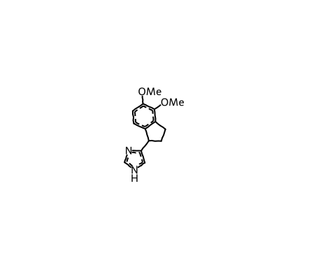 COc1ccc2c(c1OC)CCC2c1c[nH]cn1